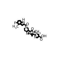 Cc1c(F)ccc2[nH]c(C(=O)N3CCc4n[nH]c(C(=O)N(C)C5(c6ncc(C(=O)O)cn6)CC5)c4C3)cc12